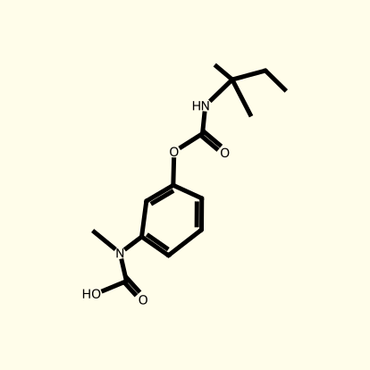 CCC(C)(C)NC(=O)Oc1cccc(N(C)C(=O)O)c1